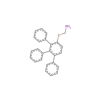 PCSc1ccc(-c2ccccc2)c(-c2ccccc2)c1-c1ccccc1